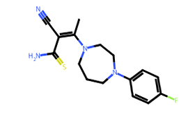 CC(=C(C#N)C(N)=S)N1CCCN(c2ccc(F)cc2)CC1